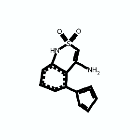 NC1=CS(=O)(=O)Nc2cccc(C3=C=CC=C3)c21